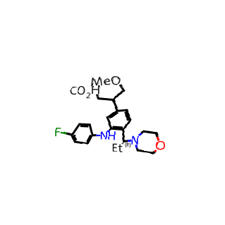 CC[C@H](c1ccc(C(COC)CC(=O)O)cc1Nc1ccc(F)cc1)N1CCOCC1